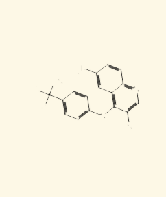 Bc1ccc2ncc(N)c(Nc3ccc(C(C)(C)C#N)cc3)c2c1